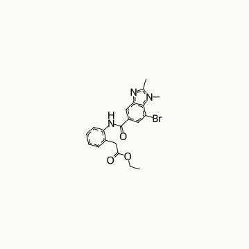 CCOC(=O)Cc1ccccc1NC(=O)c1cc(Br)c2c(c1)nc(C)n2C